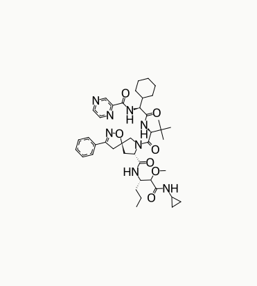 CCC[C@H](NC(=O)[C@@H]1C[C@]2(CC(c3ccccc3)=NO2)CN1C(=O)[C@@H](NC(=O)[C@@H](NC(=O)c1cnccn1)C1CCCCC1)C(C)(C)C)C(OC)C(=O)NC1CC1